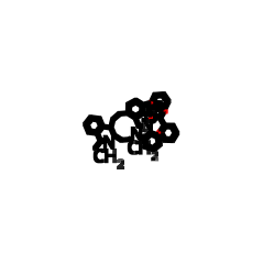 C=CC1=NC2CC(=C)[n+]3c(n(-c4ccccc4-c4ccccc4)c4ccccc43)-c3c(ccc4c3oc3ccccc34)CCC2c2ccccc21